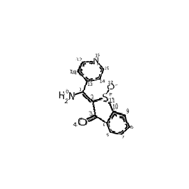 N/C(=C1\C(=O)c2ccccc2[S+]1[O-])c1ccncc1